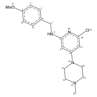 COc1ccc(CNc2cc(N3CCN(C)CC3)cc(Cl)n2)cc1